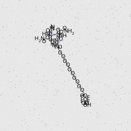 CCN/C(=C\C(C)=N)C(=O)/N=c1\[nH]c2cc(C(N)=O)cc(OC)c2n1C/C=C/Cn1/c(=N/C(=O)c2cc(C)nn2CC)[nH]c2cc(C(N)=O)cc(OCCCN3CCN(C(=O)CCOCCOCCOCCOCCOCCOCCOCCOCCOCCOCCC(=O)Oc4c(F)c(F)c(S(=O)(=O)O)c(F)c4F)CC3)c21